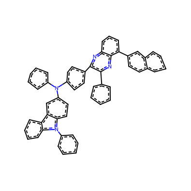 c1ccc(-c2nc3c(-c4ccc5ccccc5c4)cccc3nc2-c2ccc(N(c3ccccc3)c3ccc4c(c3)c3ccccc3n4-c3ccccc3)cc2)cc1